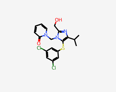 CC(C)c1nc(CO)n(Cn2ccccc2=O)c1Sc1cc(Cl)cc(Cl)c1